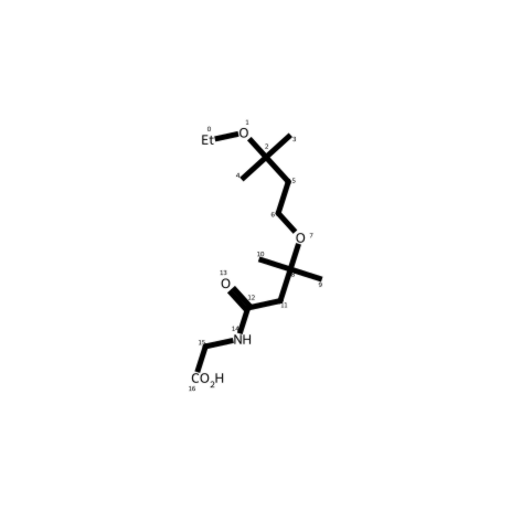 CCOC(C)(C)CCOC(C)(C)CC(=O)NCC(=O)O